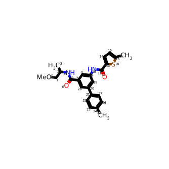 COCC(C)NC(=O)c1cc(NC(=O)c2ccc(C)s2)cc(-c2ccc(C)cc2)c1